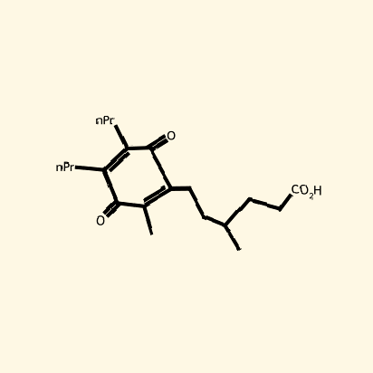 CCCC1=C(CCC)C(=O)C(CCC(C)CCC(=O)O)=C(C)C1=O